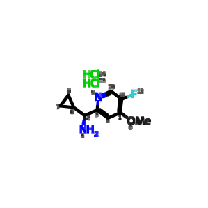 COc1cc([C@@H](N)C2CC2)ncc1F.Cl.Cl